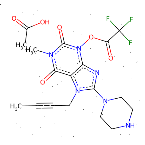 CC#CCn1c(N2CCNCC2)nc2c1c(=O)n(C)c(=O)n2OC(=O)C(F)(F)F.CC(=O)O